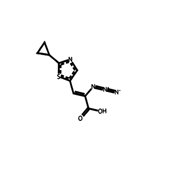 [N-]=[N+]=N/C(=C\c1cnc(C2CC2)s1)C(=O)O